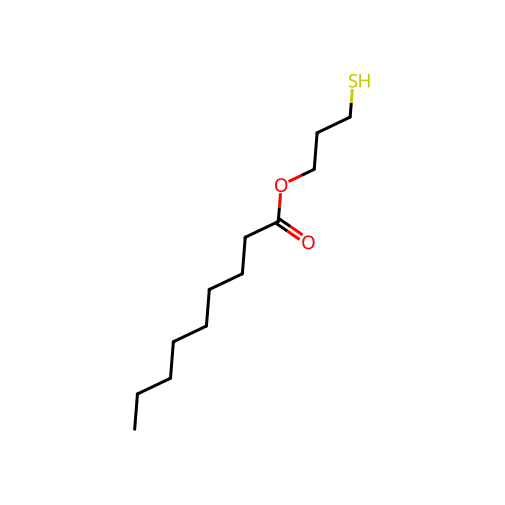 CCCCCCCCC(=O)OCCCS